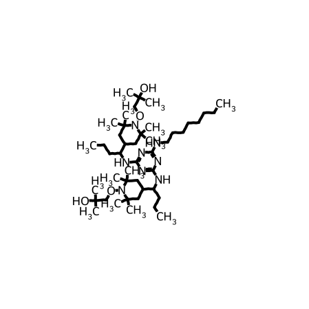 CCCCCCCCNc1nc(NC(CCC)C2CC(C)(C)N(OCC(C)(C)O)C(C)(C)C2)nc(NC(CCC)C2CC(C)(C)N(OCC(C)(C)O)C(C)(C)C2)n1